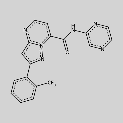 O=C(Nc1cnccn1)c1ccnc2cc(-c3ccccc3C(F)(F)F)nn12